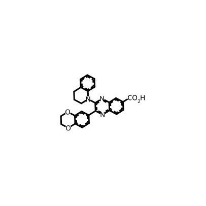 O=C(O)c1ccc2nc(-c3ccc4c(c3)OCCO4)c(N3CCCc4ccccc43)nc2c1